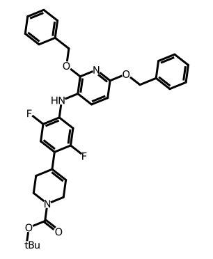 CC(C)(C)OC(=O)N1CC=C(c2cc(F)c(Nc3ccc(OCc4ccccc4)nc3OCc3ccccc3)cc2F)CC1